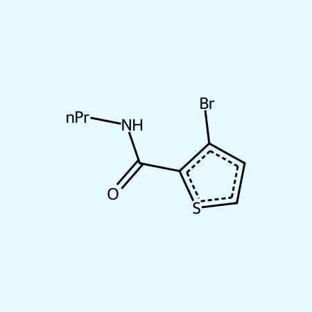 CCCNC(=O)c1sccc1Br